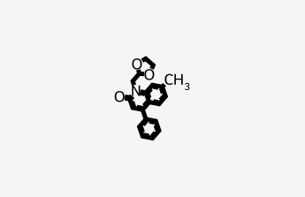 Cc1ccc2c(-c3ccccc3)cc(=O)n(CC3OCCO3)c2c1